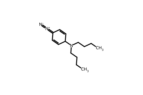 CCCCN(CCCC)C1C=CC(=[N+]=[N-])C=C1